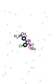 CN(C)c1ccc(C(=O)c2cc(Cl)ccc2NC(=O)OC(C)(C)C)cc1